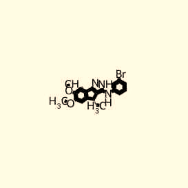 CC[C@@H]1c2cc(OC)c(OC)cc2-c2n[nH]c(Nc3cccc(Br)c3)c21